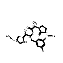 CCCO[C@H]1CN[C@@H]([C@@H](O)[C@H](Cc2cc(F)cc(F)c2)OC(=O)[C@H](C)N2CC[C@H](CC(C)C)C2=O)C1